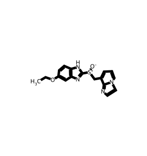 CCOc1ccc2[nH]c([S+]([O-])Cc3cccn4ccnc34)nc2c1